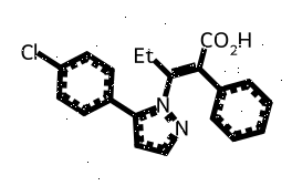 CCC(=C(C(=O)O)c1ccccc1)n1nccc1-c1ccc(Cl)cc1